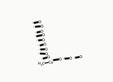 [CH3][Co].[C]=O.[C]=O.[C]=O.[C]=O.[C]=O.[C]=O.[C]=O.[C]=O.[C]=O.[C]=O.[C]=O.[C]=O